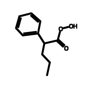 CCCC(C(=O)OO)c1ccccc1